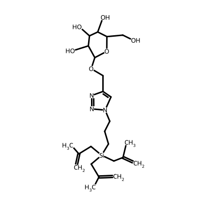 C=C(C)C[Si](CCCn1cc(COC2OC(CO)C(O)C(O)C2O)nn1)(CC(=C)C)CC(=C)C